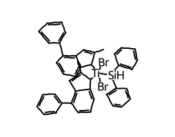 CC1=Cc2c(-c3ccccc3)cccc2[CH]1[Ti]([Br])([Br])([CH]1C(C)=Cc2c(-c3ccccc3)cccc21)[SiH](c1ccccc1)c1ccccc1